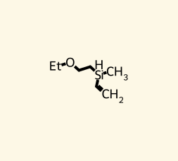 C=C[SiH](C)CCOCC